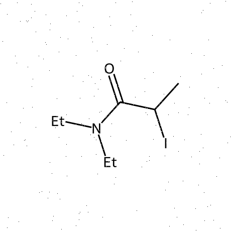 CCN(CC)C(=O)C(C)I